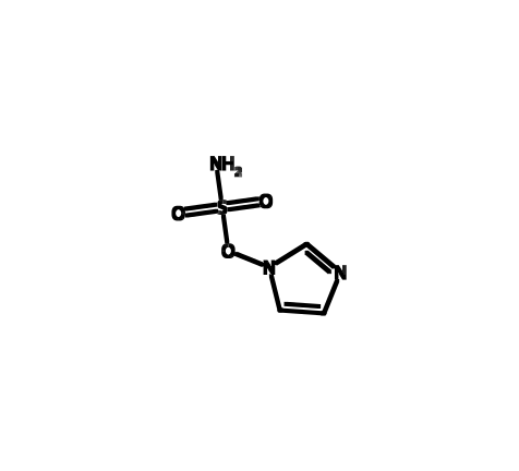 NS(=O)(=O)On1ccnc1